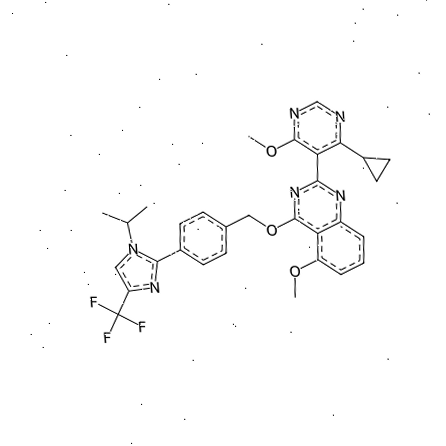 COc1ncnc(C2CC2)c1-c1nc(OCc2ccc(-c3nc(C(F)(F)F)cn3C(C)C)cc2)c2c(OC)cccc2n1